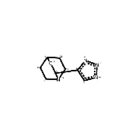 c1[nH]nnc1[C]1CC2CCN1CC2